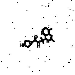 Cc1cc2c(C)ccnc2c(C(C)(C)NC(=O)C2C3CNCC32)n1